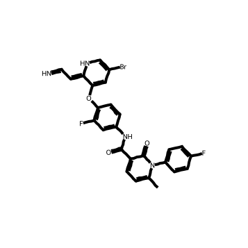 Cc1ccc(C(=O)Nc2ccc(OC3=CC(Br)=CN/C3=C\C=N)c(F)c2)c(=O)n1-c1ccc(F)cc1